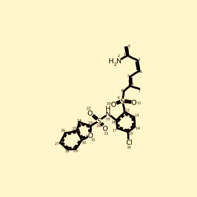 C=C(N)/C=C\C=C(/C)CS(=O)(=O)c1ccc(Cl)cc1NS(=O)(=O)c1cc2ccccc2o1